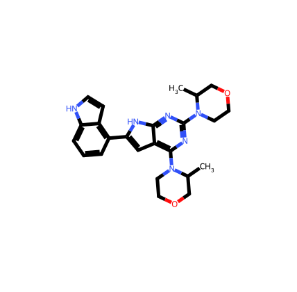 CC1COCCN1c1nc(N2CCOCC2C)c2cc(-c3cccc4[nH]ccc34)[nH]c2n1